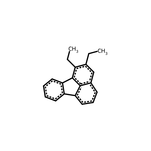 CCc1cc2cccc3c2c(c1CC)-c1ccccc1-3